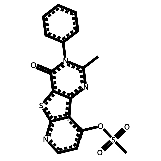 Cc1nc2c(sc3nccc(OS(C)(=O)=O)c32)c(=O)n1-c1ccccc1